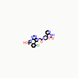 CC1(O)CN(c2ncnc3c2c(-c2ccccc2Cl)cn3CC(=O)N2CCC3(CC2)OC(=O)Nc2ncccc23)C1